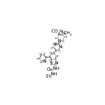 CCNC(=O)Nc1nc2cc(-c3cnc(N4CCC(C)(C(=O)O)CC4)nc3)cc(-c3ccccn3)c2s1